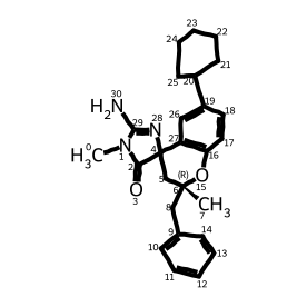 CN1C(=O)C2(C[C@@](C)(Cc3ccccc3)Oc3ccc(C4CCCCC4)cc32)N=C1N